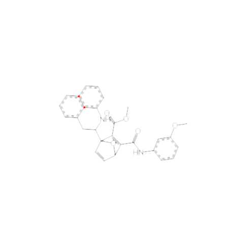 COC(=O)C1=C(C(=O)Nc2cccc(OC)c2)C2C=CC1(C(Cc1ccccc1)Nc1ccccc1)O2